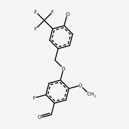 COc1cc(C=O)c(F)cc1OCc1ccc(Cl)c(C(F)(F)F)c1